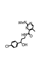 CNc1ncc(C)c(C(=O)NCCC(O)c2ccc(Cl)cc2)n1